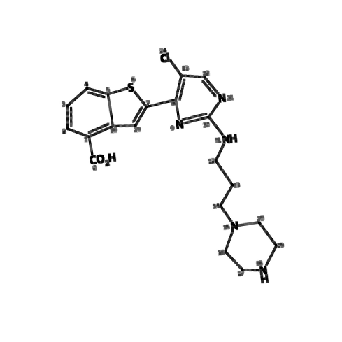 O=C(O)c1cccc2sc(-c3nc(NCCCN4CCNCC4)ncc3Cl)cc12